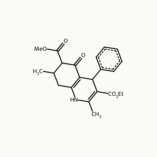 CCOC(=O)C1=C(C)NC2=C(C(=O)C(C(=O)OC)C(C)C2)C1c1ccccc1